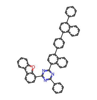 c1ccc(-c2nc(-c3ccc(-c4ccc(-c5ccc(-c6ccccc6)c6ccccc56)cc4)c4ccccc34)nc(-c3cccc4c3oc3ccccc34)n2)cc1